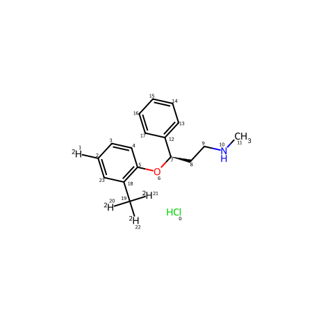 Cl.[2H]c1ccc(O[C@H](CCNC)c2ccccc2)c(C([2H])([2H])[2H])c1